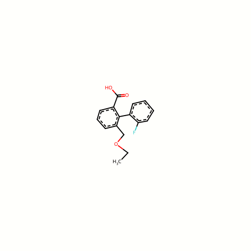 CCOCc1cccc(C(=O)O)c1-c1ccccc1F